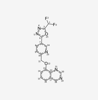 FC(F)c1nnc(-c2ccc(COc3cccc4cncnc34)nc2)o1